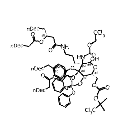 CCCCCCCCCCCC(=O)O[C@H](CCCCCCCCCCC)CC(=O)NCCC[C@]1(NC(=O)OCC(Cl)(Cl)Cl)[C@H](O)O[C@H](COC(=O)OC(C)(C)C(Cl)(Cl)Cl)[C@@H](OP(=O)(Oc2ccccc2)Oc2ccccc2)[C@]1(OCc1ccccc1)OC(=O)C[C@@H](CCCCCCCCCCC)OC(=O)CCCCCCCCCCC